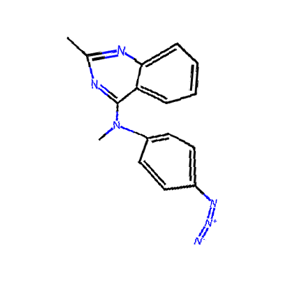 Cc1nc(N(C)c2ccc(N=[N+]=[N-])cc2)c2ccccc2n1